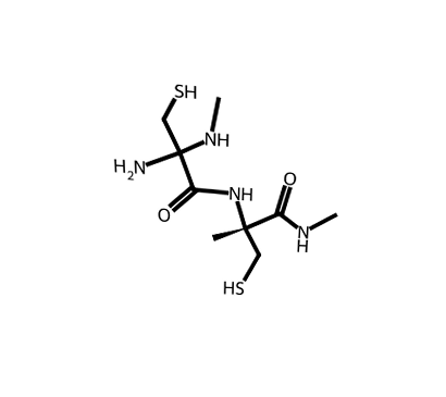 CNC(=O)[C@](C)(CS)NC(=O)C(N)(CS)NC